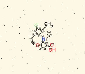 C/C=C/C[C@@H]1CC[C@H]1CN1Cc2ccc(Cl)cc2CCCCOc2ccc(C(=O)O)cc21